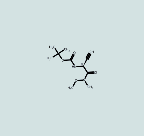 C#C[C@H](NC(=O)OC(C)(C)C)C(=O)N(C)OC